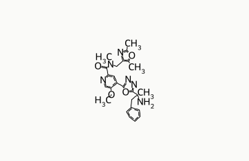 COc1cnc(C(=O)N(C)Cc2nc(C)oc2C)cc1-c1nnc(C(C)(N)Cc2ccccc2)o1